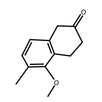 COc1c(C)ccc2c1CCC(=O)C2